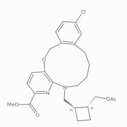 COC(=O)c1ccc2c(n1)N(C[C@@H]1CC[C@H]1COC(C)=O)CCCCc1cc(Cl)ccc1CO2